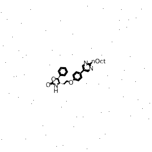 CCCCCCCCc1ncc(-c2ccc(OCC[C@@H]3NC(=O)O[C@H]3c3ccccc3)cc2)cn1